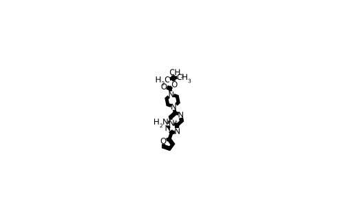 CC(C)(C)OC(=O)N1CCN(C2=C[N+]3(N)N=C(c4ccco4)N=C3C=N2)CC1